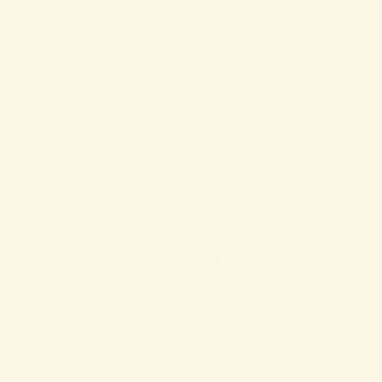 CC=CCCC1CCC2CC(CCC=CC)CCC2C1